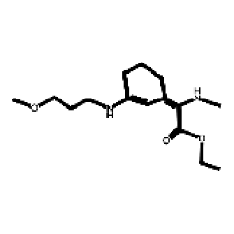 CCOC(=O)/C(NC)=C1\C=C(NCCCOC)CCC1